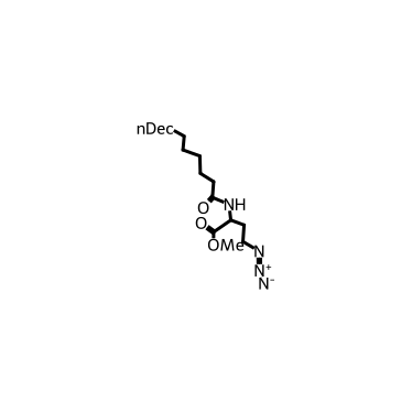 CCCCCCCCCCCCCCCC(=O)NC(CCN=[N+]=[N-])C(=O)OC